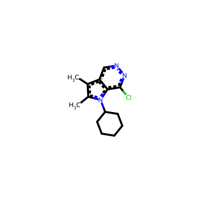 Cc1c(C)n(C2CCCCC2)c2c(Cl)nncc12